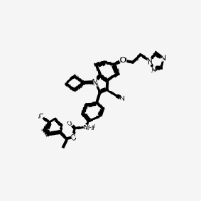 CC(OC(=O)Nc1ccc(-c2c(C#N)c3cc(OCCn4cncn4)ccc3n2C2CCC2)cc1)c1ccc(F)cc1